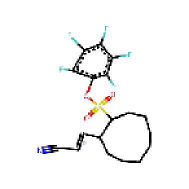 N#C/C=C/C1CCCCCCCC1S(=O)(=O)Oc1c(F)c(F)c(F)c(F)c1F